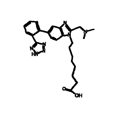 CN(C)Cc1nc2cc(-c3ccccc3-c3nn[nH]n3)ccc2n1CCCCCCCC(=O)O